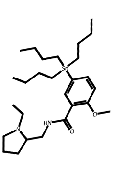 CCC[CH2][Sn]([CH2]CCC)([CH2]CCC)[c]1ccc(OC)c(C(=O)NCC2CCCN2CC)c1